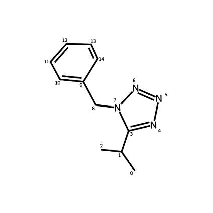 CC(C)c1nnnn1Cc1ccccc1